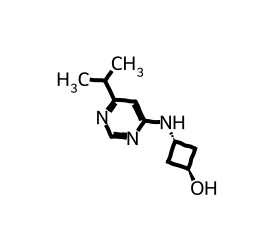 CC(C)c1cc(N[C@H]2C[C@H](O)C2)ncn1